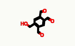 O=Cc1cc(C=O)c(CO)cc1C=O